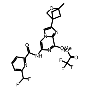 COc1nc(NC(=O)c2cccc(C(F)F)n2)cn2cc(C34COC(C)(C3)C4)nc12.O=C(O)C(F)(F)F